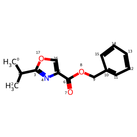 CC(C)c1nc(C(=O)OCc2ccccc2)co1